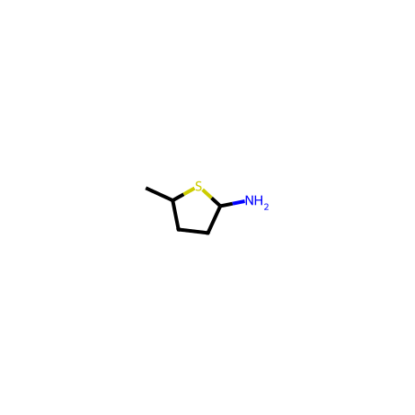 CC1CCC(N)S1